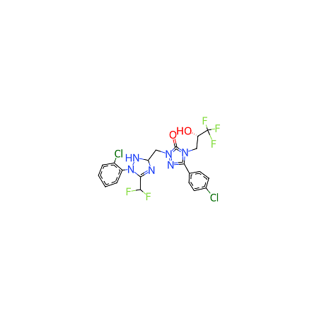 O=c1n(CC2N=C(C(F)F)N(c3ccccc3Cl)N2)nc(-c2ccc(Cl)cc2)n1C[C@H](O)C(F)(F)F